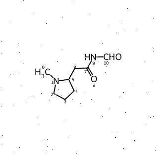 CN1CCCC1CC(=O)NC=O